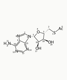 CC(=O)SC[C@H]1O[C@@H](n2cnc3c(N)ncnc32)[C@H](O)[C@@H]1O